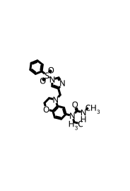 CCN(C(=O)NC)c1ccc2c(c1)N(Cc1cn(S(=O)(=O)c3ccccc3)cn1)CCO2